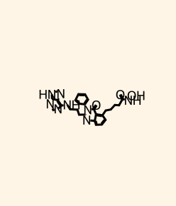 O=C(CCCCc1cccc2nc(CCCNc3ncnc4[nH]cnc34)n(-c3ccccc3)c(=O)c12)NO